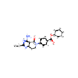 COc1nc(N)c2c(n1)CCN(c1ccc(C(=O)OC3CCCCC3)cc1)C2=O